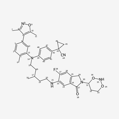 Cc1ccc(-c2c(C)noc2C)cc1N(CCC(C)CCNc1cc2c(cc1F)CN(C1CCONO1)C2=O)c1ccc(C2(C#N)CC2)cc1